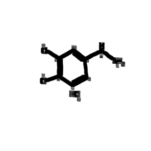 Cl.NNc1ccc(Cl)c(Cl)c1